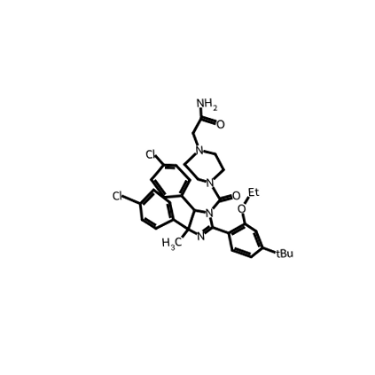 CCOc1cc(C(C)(C)C)ccc1C1=NC(C)(c2ccc(Cl)cc2)C(c2ccc(Cl)cc2)N1C(=O)N1CCN(CC(N)=O)CC1